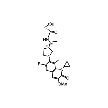 COc1cc2cc(F)c(N3CC[C@@H]([C@H](C)NC(=O)OC(C)(C)C)C3)c(C)c2n(C2CC2)c1=O